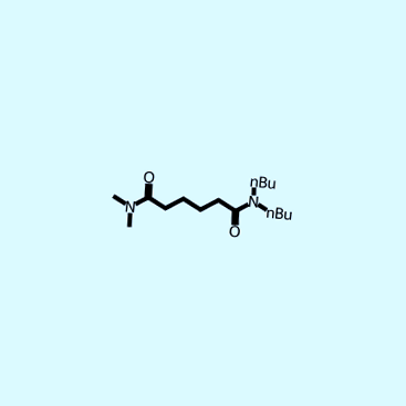 CCCCN(CCCC)C(=O)CCCCC(=O)N(C)C